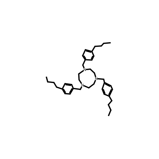 CCCCc1ccc(CN2CCN(Cc3ccc(CCCC)cc3)CCN(Cc3ccc(CCCC)cc3)CC2)cc1